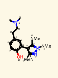 CNc1nn(NC)c(NC)c1-c1cc(CCN(C)C)ccc1O